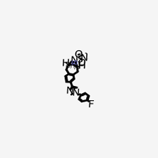 CN(C)S(=O)(=O)/N=C1\[C@@H]2CC[C@H]1Cc1ccc(-c3cn(-c4ccc(F)cc4)cn3)cc1C2